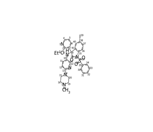 CCOc1ncccc1C1(Nc2ccc(N3CCN(C)CC3)nc2)C(=O)N(S(=O)(=O)c2ccccc2)c2ccc(I)cc21